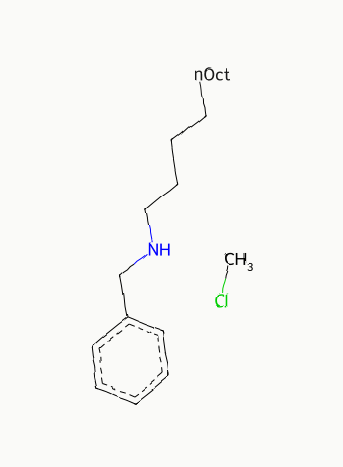 CCCCCCCCCCCCNCc1ccccc1.CCl